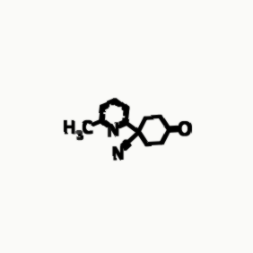 Cc1cccc(C2(C#N)CCC(=O)CC2)n1